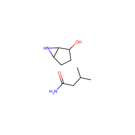 CC(C)CC(N)=O.OC1CCC2NC12